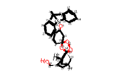 CC(C)(C)[Si](O[C@@H]1CCC[C@@]2(C1)OO[C@]1(C[C@@H]3C[C@@H](CO)[C@H]1C3)O2)(c1ccccc1)c1ccccc1